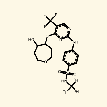 [2H]C([2H])([2H])NS(=O)(=O)c1ccc(Nc2ncc(C(F)(F)F)c(OC3CCOCCC3O)n2)cc1